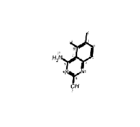 Cc1ccc2nc(O)nc(N)c2c1C